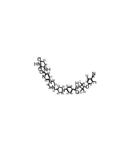 Cc1cc(OC2C(C)(C)C(NC(=O)c3ccc(N4CCC(CN5CCN(c6ccc(C(=O)N[C@H]7CCC(=O)NC7=O)nc6)CC5)CC4)cc3)C2(C)C)cc(C)c1C#N